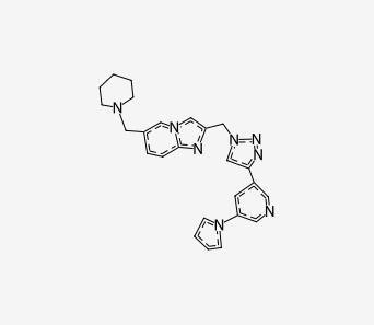 c1ccn(-c2cncc(-c3cn(Cc4cn5cc(CN6CCCCC6)ccc5n4)nn3)c2)c1